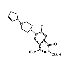 CC(C)(C)n1cc(C(=O)O)c(=O)c2cc(F)c(N3CCN(C4C=CCC4)CC3)cc21